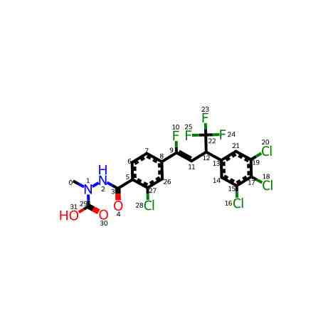 CN(NC(=O)c1ccc(C(F)=CC(c2cc(Cl)c(Cl)c(Cl)c2)C(F)(F)F)cc1Cl)C(=O)O